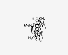 CCCC(C)(O[Si](C)(COC(=O)NC)C(C)(CC)O[Si](C)(C)C)[Si](C)(C)O[Si](C)(C)C